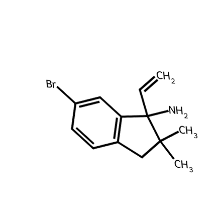 C=CC1(N)c2cc(Br)ccc2CC1(C)C